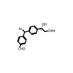 COC[C@@H](O)c1ccc(C(C(C)=O)c2ccc([C]=O)cc2)cc1